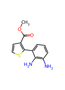 COC(=O)c1ccsc1-c1cccc(N)c1N